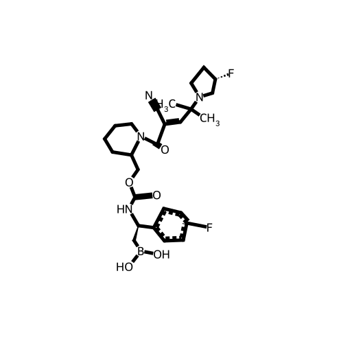 CC(C)(C=C(C#N)C(=O)N1CCCCC1COC(=O)N[C@H](CB(O)O)c1ccc(F)cc1)N1CC[C@H](F)C1